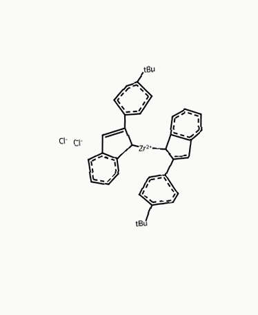 CC(C)(C)c1ccc(C2=Cc3ccccc3[CH]2[Zr+2][CH]2C(c3ccc(C(C)(C)C)cc3)=Cc3ccccc32)cc1.[Cl-].[Cl-]